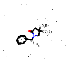 CCOC(=O)C1(C(=O)OCC)CC(=O)N([C@H](C)c2ccccc2)C1